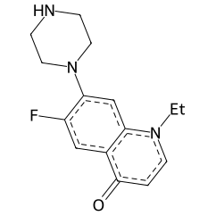 CCn1ccc(=O)c2cc(F)c(N3CCNCC3)cc21